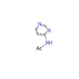 CC(=O)Nc1ccncn1